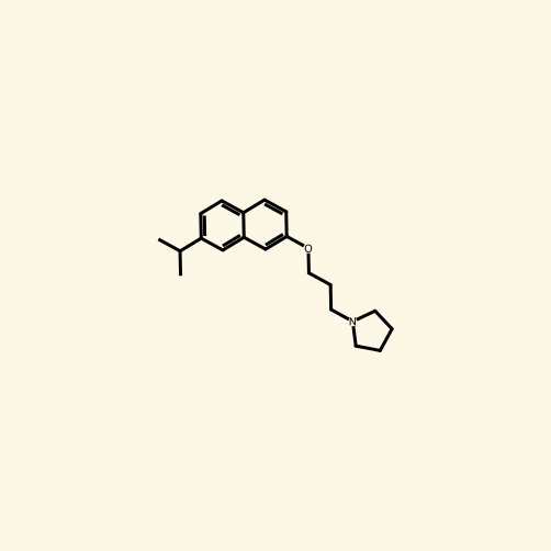 CC(C)c1ccc2ccc(OCCCN3CCCC3)cc2c1